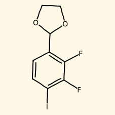 Fc1c(I)ccc(C2OCCO2)c1F